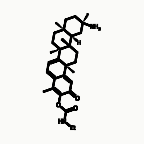 CCNC(=O)OC1=C(C)C2=CC=C3[C@@](C)(CC[C@@]4(C)[C@@H]5C[C@](C)(N)CC[C@]5(C)CC[C@]34C)C2=CC1=O